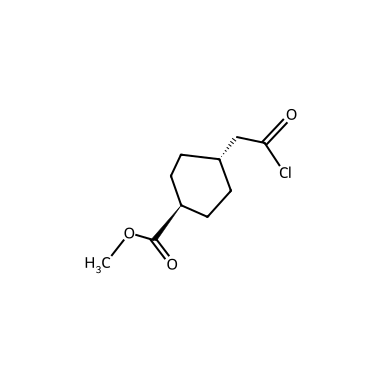 COC(=O)[C@H]1CC[C@H](CC(=O)Cl)CC1